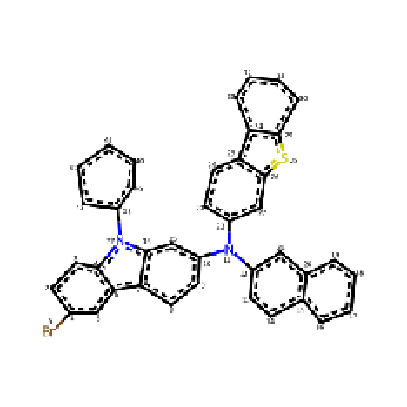 Brc1ccc2c(c1)c1ccc(N(c3ccc4ccccc4c3)c3ccc4c(c3)sc3ccccc34)cc1n2-c1ccccc1